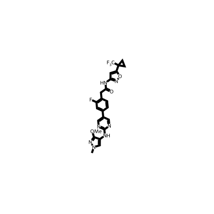 COc1nn(C)cc1Nc1ncc(-c2ccc(CC(=O)Nc3cc(C4(C(F)(F)F)CC4)on3)c(F)c2)cn1